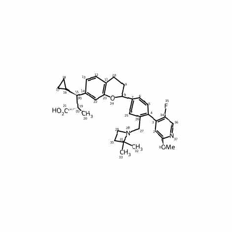 COc1cc(-c2ccc(C3CCc4ccc([C@H](C5CC5)[C@H](C)C(=O)O)cc4O3)cc2CN2CCC2(C)C)c(F)cn1